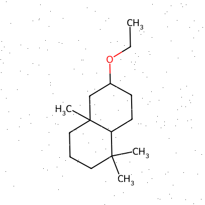 CCOC1CCC2C(C)(C)CCCC2(C)C1